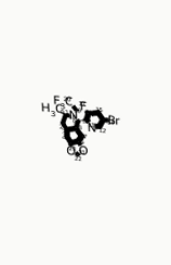 C[C@@H]1Cc2cc3c(cc2[C@@H](c2ncc(Br)cc2F)N1CC(F)(F)F)OCO3